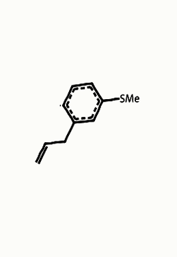 C=CCc1[c]ccc(SC)c1